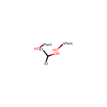 CCC(O)CC.CCCC(C)O.CCCCCO